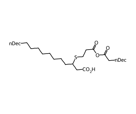 CCCCCCCCCCCCCCCCCCC(CC(=O)O)SCCC(=O)OC(=O)CCCCCCCCCCC